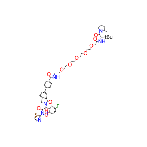 CC1CCCN1C(=O)C(NC(=O)COCCOCCOCCOCCOCCNC(=O)c1ccc(-c2ccc3c(c2)C(=O)N(C(C(=O)Nc2nccs2)c2cc(F)ccc2O)C3)cc1)C(C)(C)C